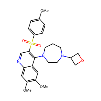 COc1ccc(S(=O)(=O)c2cnc3cc(OC)c(OC)cc3c2N2CCCN(C3COC3)CC2)cc1